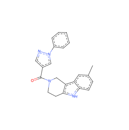 Cc1ccc2[nH]c3c(c2c1)CN(C(=O)c1cnn(-c2ccccc2)c1)CC3